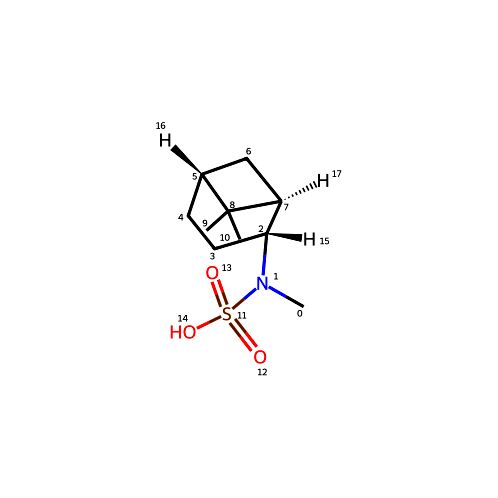 CN([C@@H]1CC[C@@H]2C[C@@H]1C2(C)C)S(=O)(=O)O